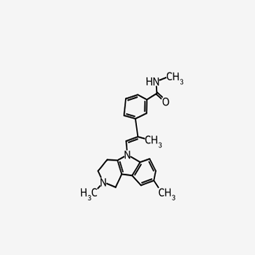 CNC(=O)c1cccc(C(C)=Cn2c3c(c4cc(C)ccc42)CN(C)CC3)c1